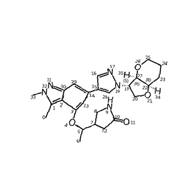 Cc1c2c(OC(C)C3CNC(=O)C3)cc(-c3cnn([C@H]4CO[C@@H]5CCCO[C@@H]54)c3)cc2nn1C